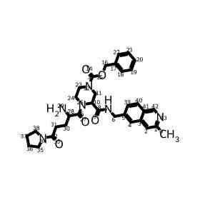 Cc1cc2cc(CNC(=O)C3CN(C(=O)OCc4ccccc4)CCN3C(=O)C(N)CCC(=O)N3CCCC3)ccc2cn1